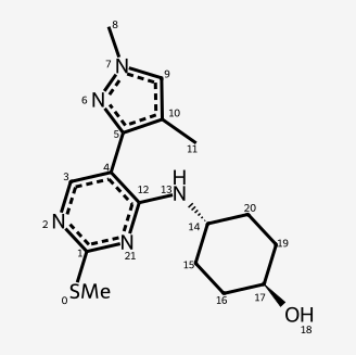 CSc1ncc(-c2nn(C)cc2C)c(N[C@H]2CC[C@H](O)CC2)n1